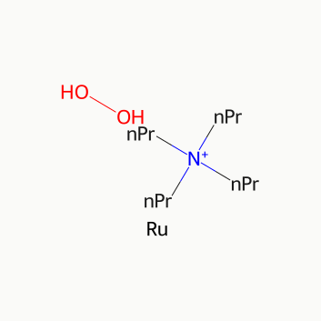 CCC[N+](CCC)(CCC)CCC.OO.[Ru]